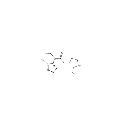 CCN(C(=O)CC1CCNC1=O)c1c[nH]nc1Cl